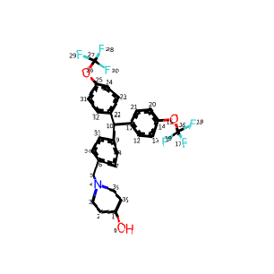 OC1CCN(Cc2ccc(C(c3ccc(OC(F)(F)F)cc3)c3ccc(OC(F)(F)F)cc3)cc2)CC1